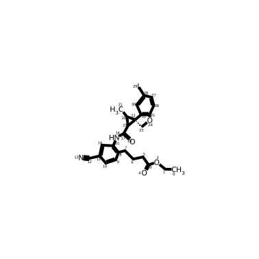 CCOC(=O)CCCc1ccc(C#N)cc1NC(=O)C1C(C)[C@]12COc1ccc(I)cc12